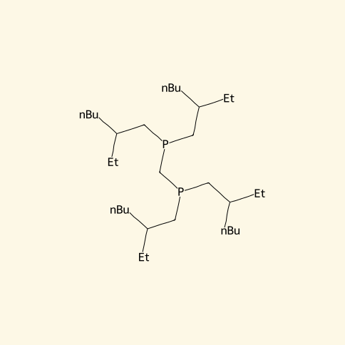 CCCCC(CC)CP(CC(CC)CCCC)CP(CC(CC)CCCC)CC(CC)CCCC